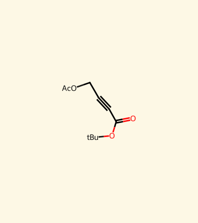 CC(=O)OCC#CC(=O)OC(C)(C)C